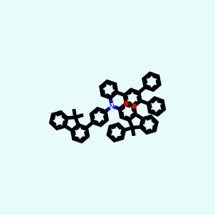 CC1(C)c2ccccc2-c2cccc(-c3ccc(N(c4ccc5c(c4)C(C)(c4ccccc4)c4ccccc4-5)c4ccccc4-c4ccc(-c5ccccc5)c(-c5ccccc5)c4)cc3)c21